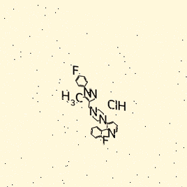 Cc1c(CN2CCN(c3cccnc3-c3ccccc3F)CC2)cnn1-c1ccc(F)cc1.Cl